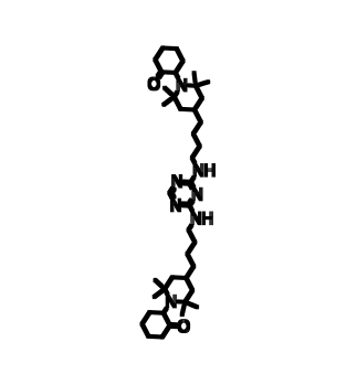 CC1(C)CC(CCCCNc2ncnc(NCCCCC3CC(C)(C)N(C4CCCCC4=O)C(C)(C)C3)n2)CC(C)(C)N1C1CCCCC1=O